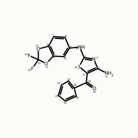 Nc1nc(Nc2ccc3c(c2)OC(F)(F)O3)sc1C(=O)c1ccccc1